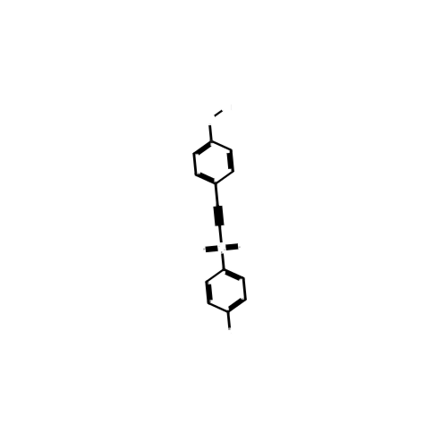 COc1ccc(C#CS(=O)(=O)c2ccc(Br)cc2)cc1